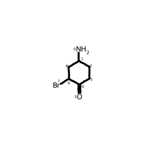 NC1CCC(=O)C(Br)C1